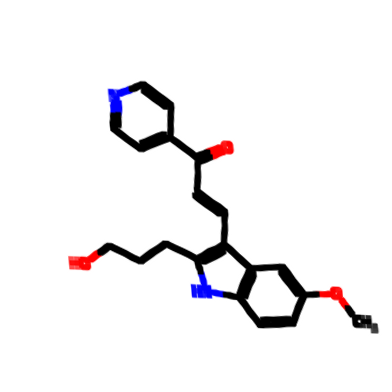 COc1ccc2[nH]c(CCCO)c(C=CC(=O)c3ccncc3)c2c1